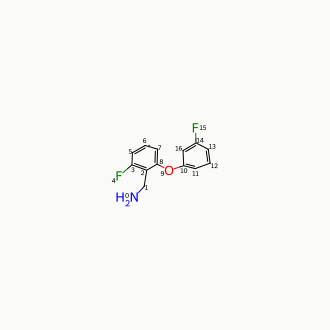 NCc1c(F)c[c]cc1Oc1cccc(F)c1